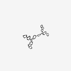 c1ccc(-c2ccc(N(c3ccc(-c4ccc(N(c5ccc(-c6ccccc6)cc5)c5ccc6c(c5)sc5ccccc56)cc4)cc3)c3ccc4c(c3)sc3ccccc34)cc2)cc1